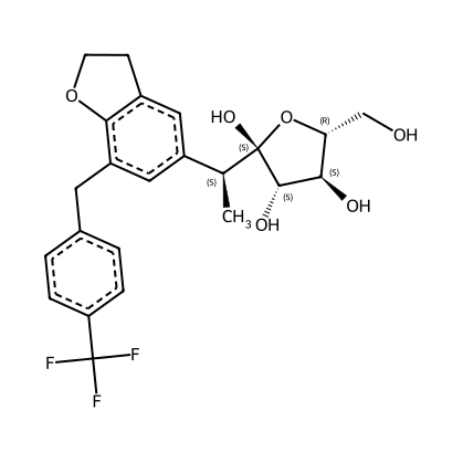 C[C@@H](c1cc2c(c(Cc3ccc(C(F)(F)F)cc3)c1)OCC2)[C@]1(O)O[C@H](CO)[C@@H](O)[C@@H]1O